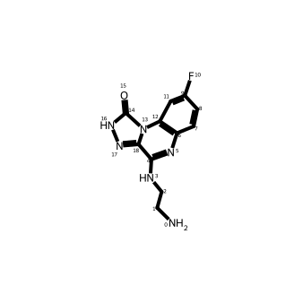 NCCNc1nc2ccc(F)cc2n2c(=O)[nH]nc12